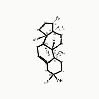 CC(=O)[C@H]1CC[C@H]2[C@@H]3CC=C4CC(O)(F)CC[C@]4(C)[C@H]3CC[C@]12C